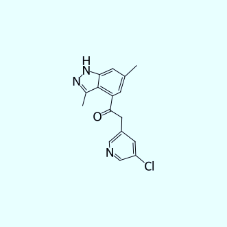 Cc1cc(C(=O)Cc2cncc(Cl)c2)c2c(C)n[nH]c2c1